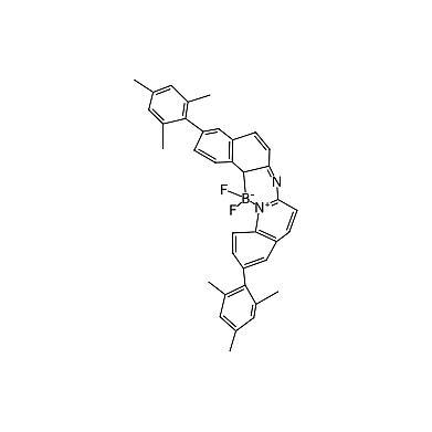 Cc1cc(C)c(-c2ccc3c(c2)C=CC2=Nc4ccc5cc(-c6c(C)cc(C)cc6C)ccc5[n+]4[B-](F)(F)C23)c(C)c1